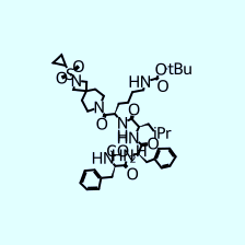 CC(C)C[C@@H](NC(=O)[C@@H](Cc1ccccc1)NC(=O)[C@@H](Cc1ccccc1)NC(=O)O)C(=O)N[C@H](CCCCNC(=O)OC(C)(C)C)C(=O)N1CCC2(CC1)CN(S(=O)(=O)C1CC1)C2